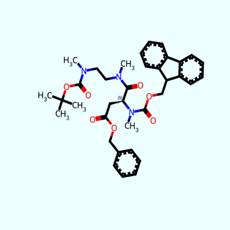 CN(CCN(C)C(=O)[C@H](CC(=O)OCc1ccccc1)N(C)C(=O)OCC1c2ccccc2-c2ccccc21)C(=O)OC(C)(C)C